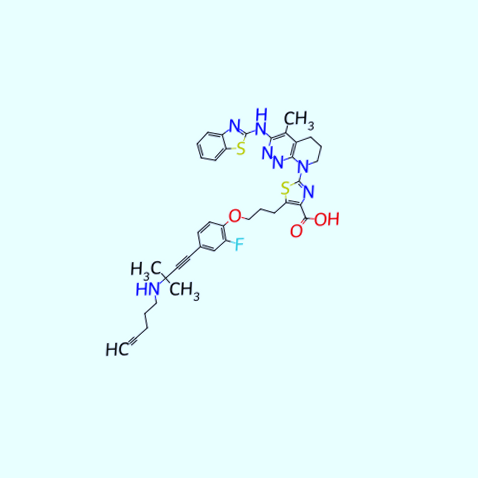 C#CCCCNC(C)(C)C#Cc1ccc(OCCCc2sc(N3CCCc4c3nnc(Nc3nc5ccccc5s3)c4C)nc2C(=O)O)c(F)c1